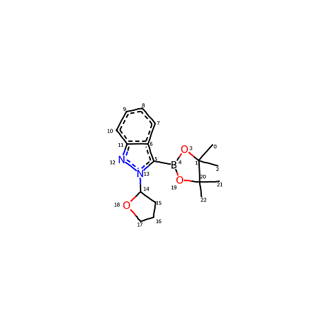 CC1(C)OB(c2c3ccccc3nn2C2CCCO2)OC1(C)C